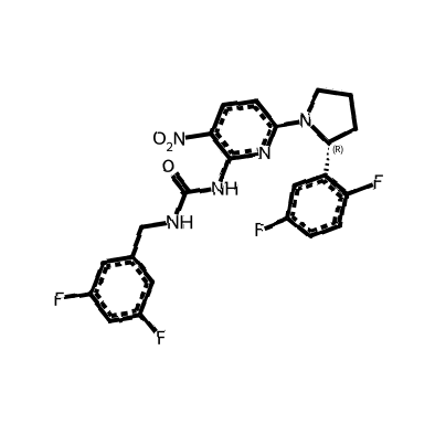 O=C(NCc1cc(F)cc(F)c1)Nc1nc(N2CCC[C@@H]2c2cc(F)ccc2F)ccc1[N+](=O)[O-]